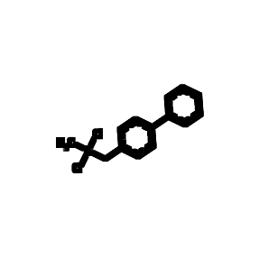 C[Si](Cl)(Cl)Cc1ccc(-c2ccccc2)cc1